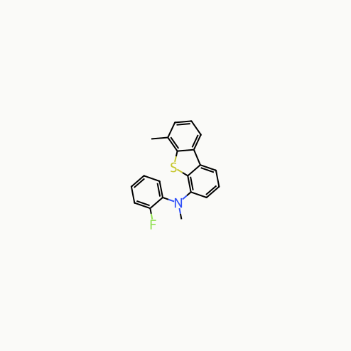 Cc1cccc2c1sc1c(N(C)c3ccccc3F)cccc12